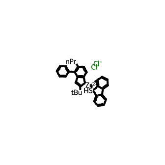 CCCc1ccc2c(c1-c1ccccc1)C=C(C(C)(C)C)[CH]2[Zr+2]1[c]2cccc3c2[SiH]1c1ccccc1-3.[Cl-].[Cl-]